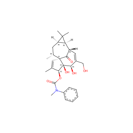 CC1=C[C@]23C(=O)[C@@H](C=C(CO)[C@@H](O)[C@]2(O)[C@H]1OC(=O)N(C)c1ccccc1)[C@H]1[C@@H](C[C@H]3C)C1(C)C